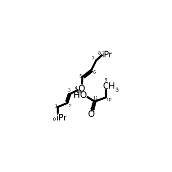 CC(C)CC=COC=CCC(C)C.CCC(=O)O